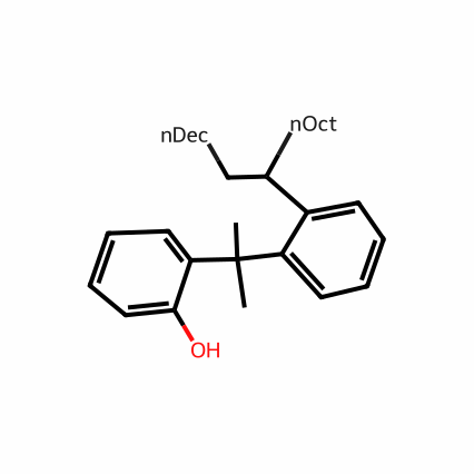 CCCCCCCCCCCC(CCCCCCCC)c1ccccc1C(C)(C)c1ccccc1O